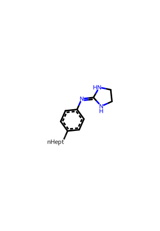 CCCCCCCc1ccc(N=C2NCCN2)cc1